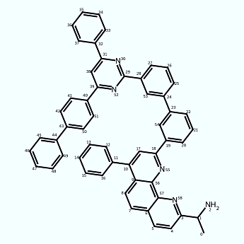 CC(N)c1ccc2ccc3c(-c4ccccc4)cc(-c4cccc(-c5cccc(-c6nc(-c7ccccc7)cc(-c7ccc(-c8ccccc8)cc7)n6)c5)c4)nc3c2n1